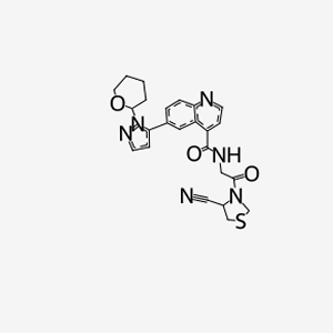 N#CC1CSCN1C(=O)CNC(=O)c1ccnc2ccc(-c3ccnn3C3CCCCO3)cc12